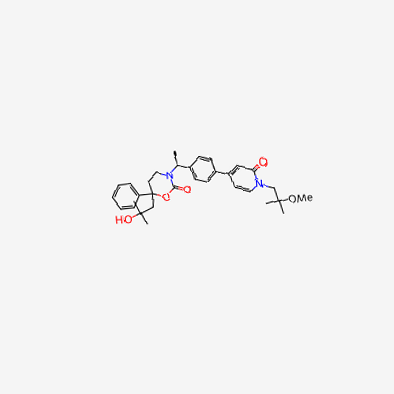 COC(C)(C)Cn1ccc(-c2ccc([C@H](C)N3CCC(CC(C)(C)O)(c4ccccc4)OC3=O)cc2)cc1=O